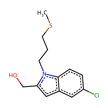 CSCCCn1c(CO)cc2cc(Cl)ccc21